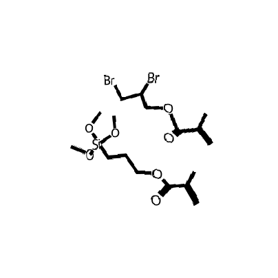 C=C(C)C(=O)OCC(Br)CBr.C=C(C)C(=O)OCCC[Si](OC)(OC)OC